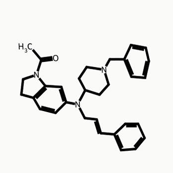 CC(=O)N1CCc2ccc(N(C/C=C/c3ccccc3)C3CCN(Cc4ccccc4)CC3)cc21